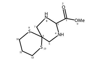 COC(=O)C1NCC2(CN1)SCCCS2